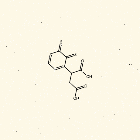 O=C(O)CC(C(=O)O)C1=CC=CC(=S)C1=S